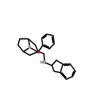 c1ccc(CN2C3CCC2CC(CNC2Cc4ccccc4C2)C3)cc1